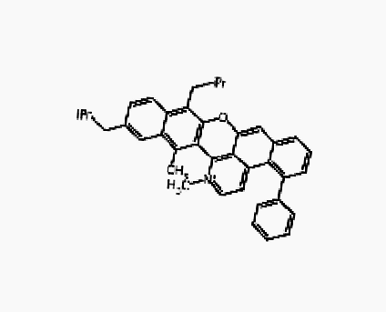 Cc1c2c(c(CC(C)C)c3ccc(CC(C)C)cc13)Oc1cc3cccc(-c4ccccc4)c3c3cc[n+](C)c-2c13